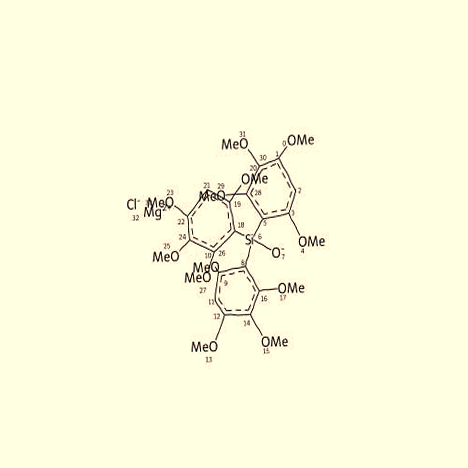 COc1cc(OC)c([Si]([O-])(c2c(OC)cc(OC)c(OC)c2OC)c2c(OC)cc(OC)c(OC)c2OC)c(OC)c1OC.[Cl-].[Mg+2]